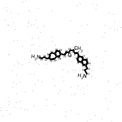 C=C(/C=C/c1ccc2cc(CCCN)ccc2c1)CC(=O)/C=C/c1ccc2c(c1)C=CC(CCCN)=CC2